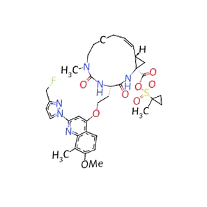 COc1ccc2c(OCC[C@@H]3NC(=O)N(C)CCCC/C=C\[C@@H]4C[C@@]4(C(=O)OS(=O)(=O)C4(C)CC4)NC3=O)cc(-n3ccc(CF)n3)nc2c1C